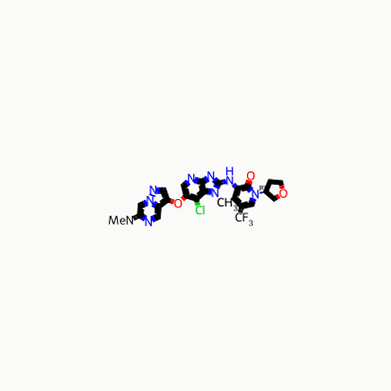 CNc1cn2ncc(Oc3cnc4nc(Nc5cc(C(F)(F)F)cn([C@@H]6CCOC6)c5=O)n(C)c4c3Cl)c2cn1